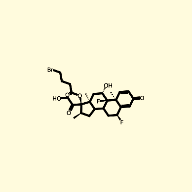 C[C@@H]1CC2C3C[C@H](F)C4=CC(=O)C=C[C@]4(C)[C@@]3(F)[C@@H](O)C[C@]2(C)[C@@]1(OC(=O)CCCBr)C(=O)CO